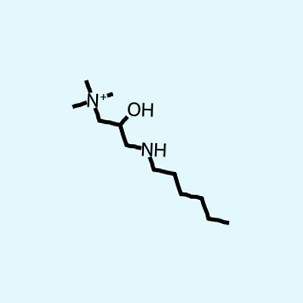 CCCCCCNCC(O)C[N+](C)(C)C